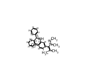 C=NN(C)C(=C(C)C)c1ccc([N+](=O)[O-])c(NC(c2ccccn2)c2ccccn2)c1